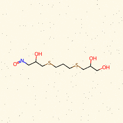 O=NCC(O)CSCCCSCC(O)CO